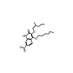 CCCCCCOc1c(OCC(C)CCC)c(=O)[nH]c2cc([N+](=O)[O-])ccc12